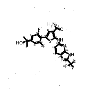 CC(C)(O)c1cc(F)c(-c2cc(C(N)=O)c(Nc3ccc4nc(C(F)(F)F)[nH]c4n3)s2)c(F)c1